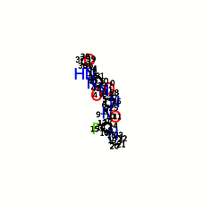 CON(C(=O)c1cc(N(C)C(=O)c2cc(F)cc(N3CCCCC3)c2)cnc1C)c1ccc(NCC2CCCO2)nc1